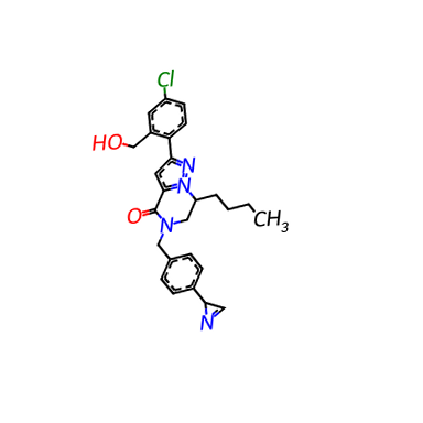 CCCCC1CN(Cc2ccc(C3C=N3)cc2)C(=O)c2cc(-c3ccc(Cl)cc3CO)nn21